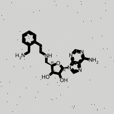 NCc1ccccc1CCNC[C@H]1O[C@@H](n2cnc3c(N)ncnc32)C(O)C1O